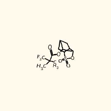 CC(C)(C(=O)OC1C2CC3C1OS(=O)(=O)C3C2)C(F)(F)F